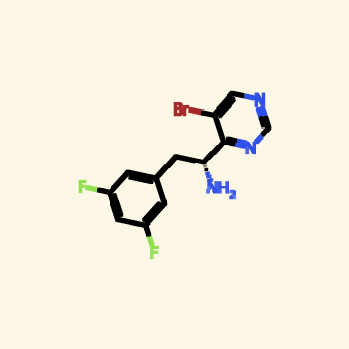 N[C@H](Cc1cc(F)cc(F)c1)c1ncncc1Br